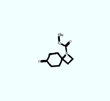 CC(C)(C)OC(=O)N1CCC12CCC(=O)CC2